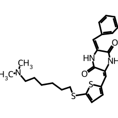 CN(C)CCCCCCSc1ccc(C=c2[nH]c(=O)c(=Cc3ccccc3)[nH]c2=O)s1